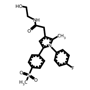 Cc1c(CC(=O)NCCO)cc(-c2ccc(S(C)(=O)=O)cc2)n1-c1ccc(F)cc1